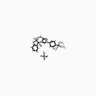 CC(C)(C)c1ccc(-[n+]2cn3c(n2)CO[C@@H]2Cc4ccccc4[C@H]23)cc1.F[B-](F)(F)F